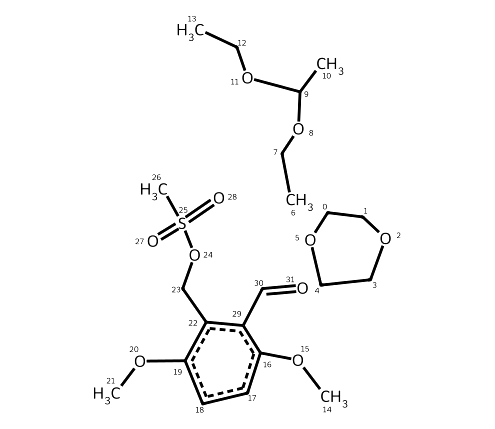 C1COCCO1.CCOC(C)OCC.COc1ccc(OC)c(COS(C)(=O)=O)c1C=O